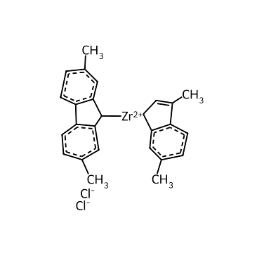 CC1=C[CH]([Zr+2][CH]2c3cc(C)ccc3-c3ccc(C)cc32)c2cc(C)ccc21.[Cl-].[Cl-]